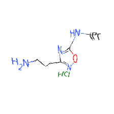 CC(C)Nc1nc(CCN)no1.Cl